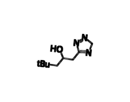 CC(C)(C)CC(O)CC1=NCN=N1